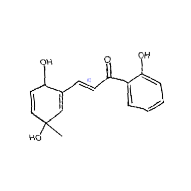 CC1(O)C=CC(O)C(/C=C/C(=O)c2ccccc2O)=C1